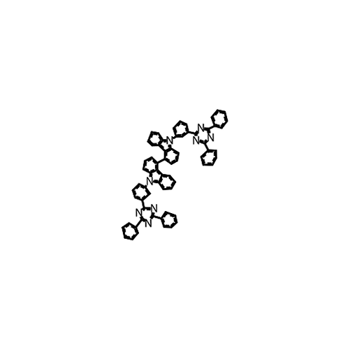 c1ccc(-c2nc(-c3ccccc3)nc(-c3cccc(-n4c5ccccc5c5c(-c6cccc7c6c6ccccc6n7-c6cccc(-c7nc(-c8ccccc8)nc(-c8ccccc8)n7)c6)cccc54)c3)n2)cc1